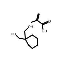 C=C(C)C(=O)O.OCC1(CO)CCCCC1